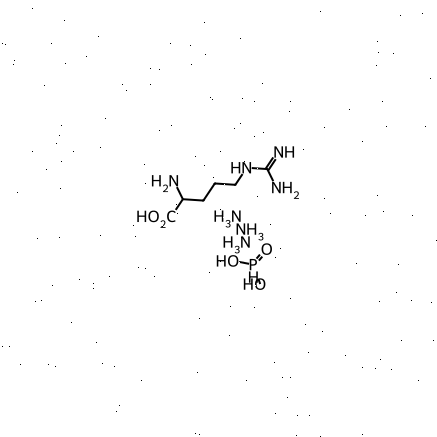 N.N.N.N=C(N)NCCCC(N)C(=O)O.O=[PH](O)O